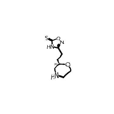 S=c1[nH]c(CC[C@@H]2CNCCO2)no1